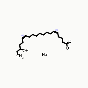 CCC(O)CC/C=C\CCCCCCC/C=C\CCCC(=O)[O-].[Na+]